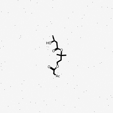 CC(=O)CC(=O)OCCC(C)(C)OC(=O)CC(C)O